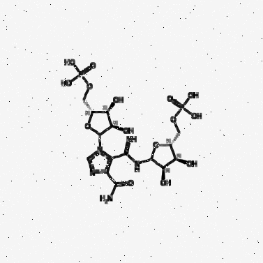 N=C(NC1O[C@H](COP(=O)(O)O)[C@@H](O)[C@H]1O)c1c(C(N)=O)ncn1C1O[C@H](COP(=O)(O)O)[C@@H](O)[C@H]1O